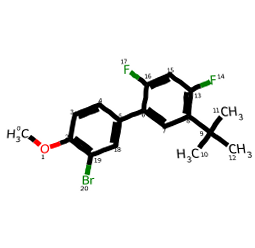 COc1ccc(-c2cc(C(C)(C)C)c(F)cc2F)cc1Br